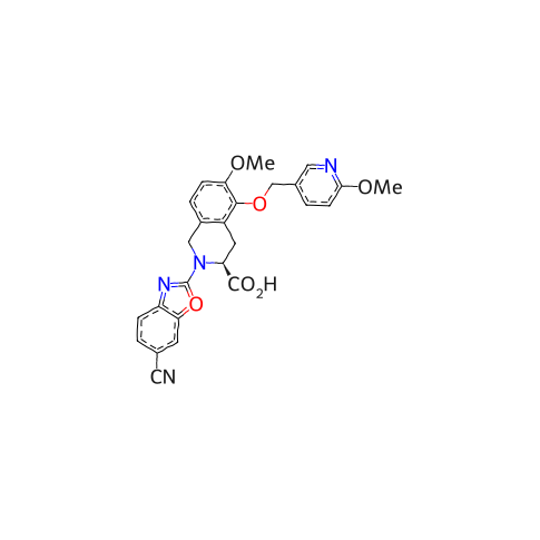 COc1ccc(COc2c(OC)ccc3c2C[C@@H](C(=O)O)N(c2nc4ccc(C#N)cc4o2)C3)cn1